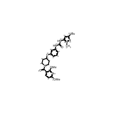 COc1ccc(C(=O)N2CCC(Oc3cccc(NC(=O)Nc4cc(C(C)(C)C)nn4C)c3)CC2)c(OC)n1